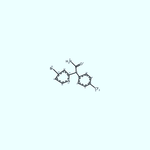 NC(=O)C(c1ccc(C(F)(F)F)cc1)c1cc(Br)ccn1